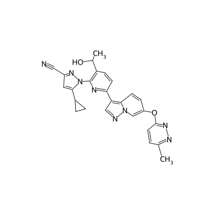 Cc1ccc(Oc2ccc3c(-c4ccc(C(C)O)c(-n5nc(C#N)cc5C5CC5)n4)cnn3c2)nn1